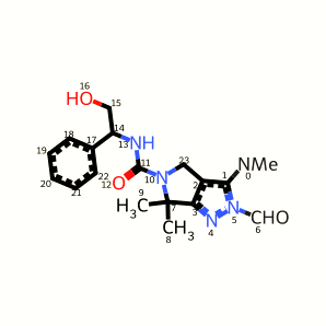 CNc1c2c(nn1C=O)C(C)(C)N(C(=O)NC(CO)c1ccccc1)C2